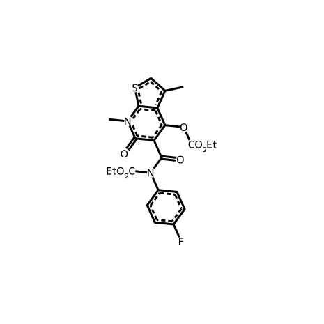 CCOC(=O)Oc1c(C(=O)N(C(=O)OCC)c2ccc(F)cc2)c(=O)n(C)c2scc(C)c12